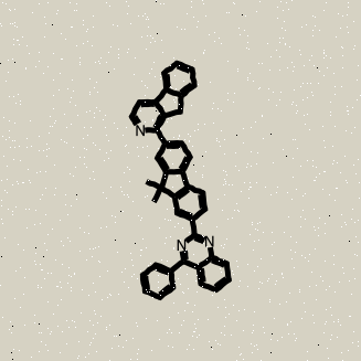 CC1(C)c2cc(-c3nc(-c4ccccc4)c4ccccc4n3)ccc2-c2ccc(-c3nccc4c3Cc3ccccc3-4)cc21